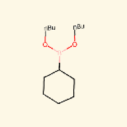 CCCCOB(OCCCC)C1CCCCC1